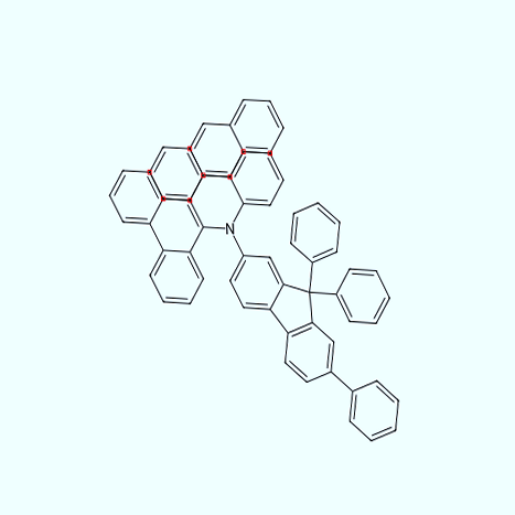 c1ccc(-c2ccc3c(c2)C(c2ccccc2)(c2ccccc2)c2cc(N(c4ccccc4-c4ccccc4)c4c(-c5ccc6ccccc6c5)c5ccccc5c5ccccc45)ccc2-3)cc1